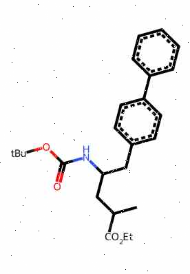 CCOC(=O)C(C)CC(Cc1ccc(-c2ccccc2)cc1)NC(=O)OC(C)(C)C